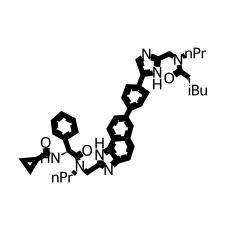 CCCN(Cc1ncc(-c2ccc(-c3ccc4c(ccc5nc(CN(CCC)C(=O)[C@H](NC(=O)C6CC6)c6ccccc6)[nH]c54)c3)cc2)[nH]1)C(=O)C[C@@H](C)CC